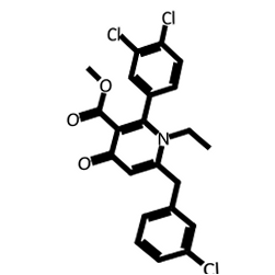 CCn1c(Cc2cccc(Cl)c2)cc(=O)c(C(=O)OC)c1-c1ccc(Cl)c(Cl)c1